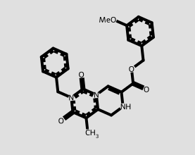 COc1cccc(COC(=O)C2=Cn3c(c(C)c(=O)n(Cc4ccccc4)c3=O)CN2)c1